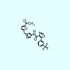 CC(=O)c1ccc(Cn2cc(NC(=O)c3ncoc3-c3cccc(C(F)(F)F)c3)cn2)o1